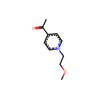 COCC[n+]1ccc(C(C)=O)cc1